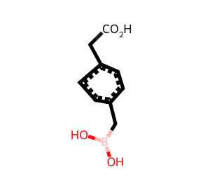 O=C(O)Cc1ccc(CB(O)O)cc1